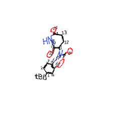 CC(C)(C)c1ccc2c(c1)oc(=O)n2C1CCC(=O)NC1=O